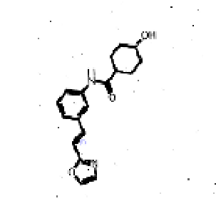 O=C(Nc1cccc(/C=C/c2ncco2)c1)C1CCC(O)CC1